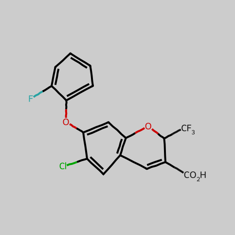 O=C(O)C1=Cc2cc(Cl)c(Oc3ccccc3F)cc2OC1C(F)(F)F